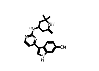 C=C1CC(Nc2nccc(-c3c[nH]c4cc(C#N)ccc34)n2)CC(C)(C)N1